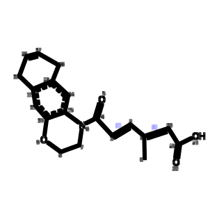 CC(/C=C/C(=O)N1CCOc2cc3c(cc21)CC=CC3)=C\C(=O)O